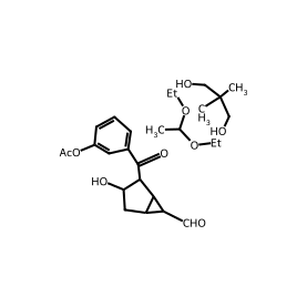 CC(=O)Oc1cccc(C(=O)C2C(O)CC3C(C=O)C32)c1.CC(C)(CO)CO.CCOC(C)OCC